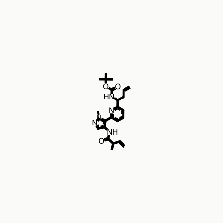 C=CCC(NC(=O)OC(C)(C)C)c1cccc(-c2c(NC(=O)C(C)C=C)cnn2C)n1